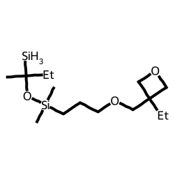 CCC1(COCCC[Si](C)(C)OC(C)([SiH3])CC)COC1